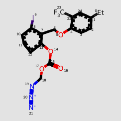 CCc1ccc(OCc2c(I)cccc2OC(=O)OCN=[N+]=[N-])c(C(F)(F)F)c1